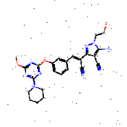 COc1nc(Oc2cccc(C=C(C#N)c3nn(CCO)c(N)c3C#N)c2)nc(N2CCCCC2)n1